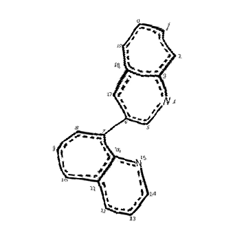 c1ccc2ncc(-c3cccc4cccnc34)cc2c1